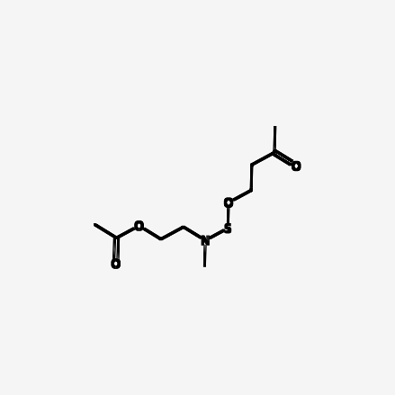 CC(=O)CCOSN(C)CCOC(C)=O